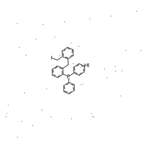 I.ICc1ccccc1Cc1ccccc1P(c1ccccc1)c1ccccc1